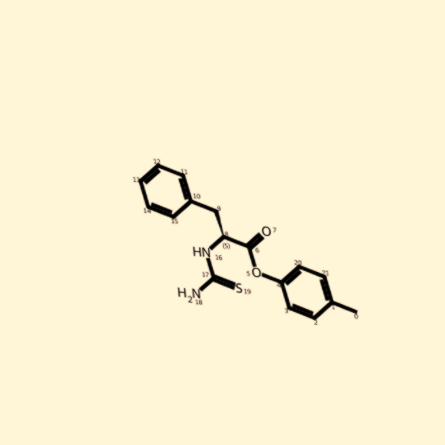 Cc1ccc(OC(=O)[C@H](Cc2ccccc2)NC(N)=S)cc1